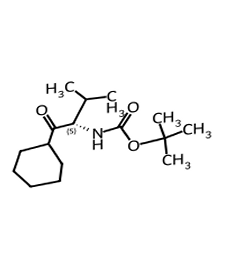 CC(C)[C@H](NC(=O)OC(C)(C)C)C(=O)C1CCCCC1